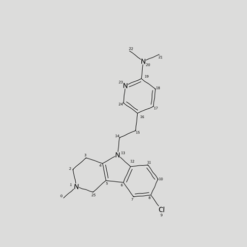 CN1CCc2c(c3cc(Cl)ccc3n2CCc2ccc(N(C)C)nc2)C1